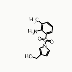 Cc1cccc(S(=O)(=O)n2ccc(CO)c2)c1N